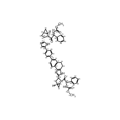 COC(=O)N[C@@H](C(=O)N1C2C[C@@H]2C[C@H]1c1nc2c([nH]1)CCc1cc(-c3ccc(-c4cnc([C@@H]5CC6C[C@H]6N5C(=O)[C@H](NC(=O)OC)c5ccccc5)[nH]4)cc3)ccc1-2)c1ccccc1